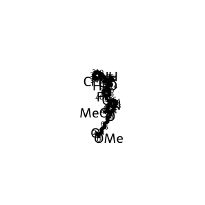 COC(=O)CCCCCCOc1cc2nccc(Oc3ccc(NC(=O)C4(C(=O)Nc5cccc(Cl)c5)CC4)cc3F)c2cc1OC